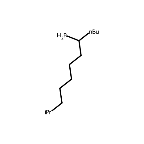 BC(CCCC)CCCCCC(C)C